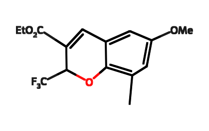 CCOC(=O)C1=Cc2cc(OC)cc(C)c2OC1C(F)(F)F